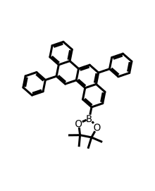 CC1(C)OB(c2ccc3c(-c4ccccc4)cc4c5ccccc5c(-c5ccccc5)cc4c3c2)OC1(C)C